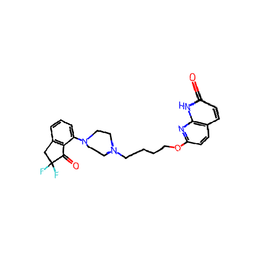 O=C1c2c(cccc2N2CCN(CCCCOc3ccc4ccc(=O)[nH]c4n3)CC2)CC1(F)F